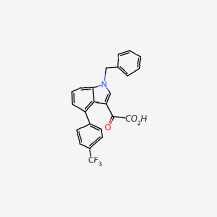 O=C(O)C(=O)c1cn(Cc2ccccc2)c2cccc(-c3ccc(C(F)(F)F)cc3)c12